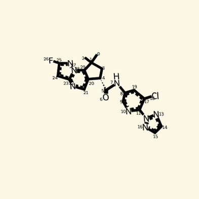 CC1(C)C[C@H](C(=O)Nc2cnc(-n3nccn3)c(Cl)c2)c2cnc3cc(F)nn3c21